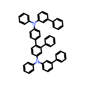 c1ccc(-c2cccc(N(c3ccccc3)c3ccc(-c4ccc(N(c5ccccc5)c5cccc(-c6ccccc6)c5)cc4-c4ccccc4)cc3)c2)cc1